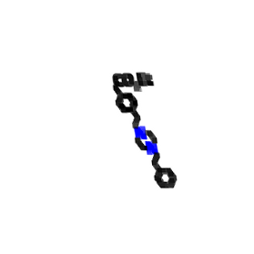 CCOC(=O)Cc1ccc(CCN2CCN(CCc3ccccc3)CC2)cc1